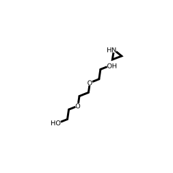 C1CN1.OCCOCCOCCO